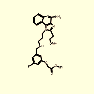 COCCc1nc2c(N)nc3ccccc3c2n1CCCNCc1cc(F)cc(OCC(=O)OC(C)C)c1